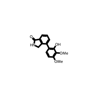 COc1ccc(-c2cccc3c2CNC3=O)c(O)c1OC